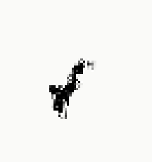 O=c1c(OC2CCCC2)c(N2CCN(S(=O)(=O)CSc3ccc(O)cc3)CC2)cnn1-c1cccc(Cl)c1